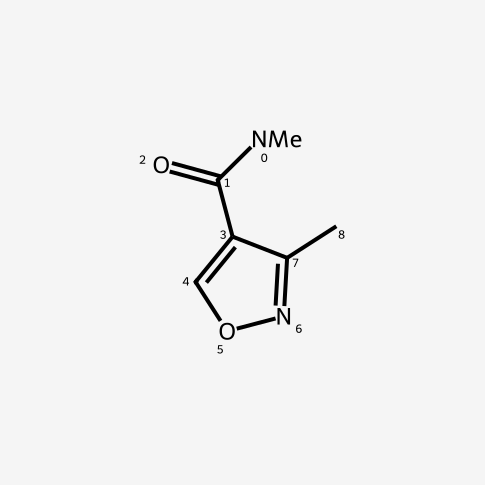 CNC(=O)c1conc1C